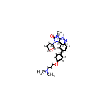 CN(C)CCCOc1ccc(-c2ccc3nnc4c(c3c2)n(C2CCCOC2)c(=O)n4C)cc1